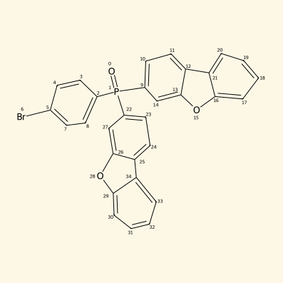 O=P(c1ccc(Br)cc1)(c1ccc2c(c1)oc1ccccc12)c1ccc2c(c1)oc1ccccc12